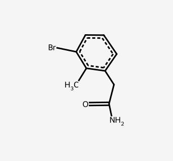 Cc1c(Br)cccc1CC(N)=O